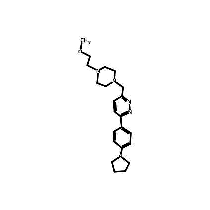 COCCN1CCN(Cc2ccc(-c3ccc(N4CCCC4)cc3)nn2)CC1